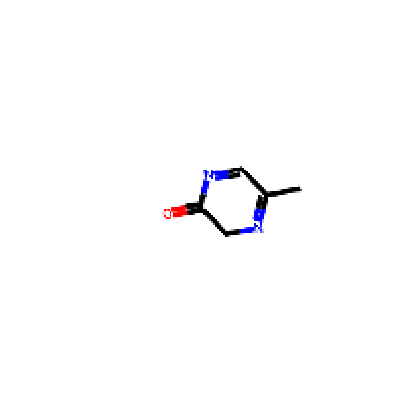 CC1=NCC(=O)N=C1